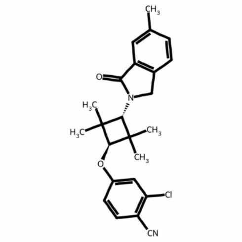 Cc1ccc2c(c1)C(=O)N([C@H]1C(C)(C)[C@H](Oc3ccc(C#N)c(Cl)c3)C1(C)C)C2